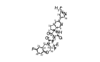 Cn1cc(-c2cc3c(cn2)[C@]2(CC3)NC(=O)N(CC(=O)N3Cc4cc(F)ccc4OC[C@H]3C(F)(F)F)C2=O)cn1